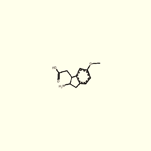 COc1ccc2c(c1)C(CC(=O)O)C(N)C2